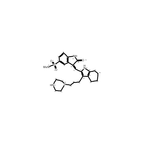 CNS(=O)(=O)c1ccc2c(c1)/C(=C/c1[nH]c3c(c1CCCN1CCNCC1)CCCC3)C(=O)N2